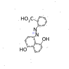 O=C(O)c1ccccc1/N=N/c1ccc(O)c2cccc(O)c12